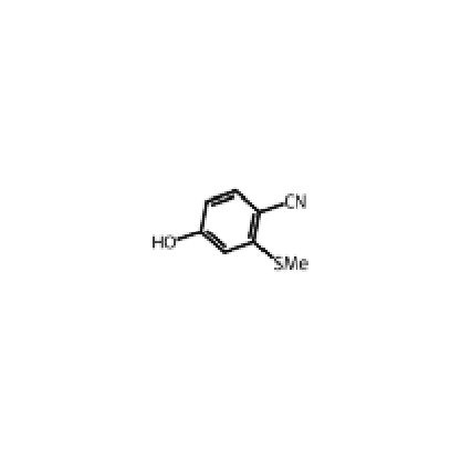 CSc1cc(O)ccc1C#N